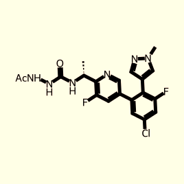 CC(=O)NNC(=O)N[C@H](C)c1ncc(-c2cc(Cl)cc(F)c2-c2cnn(C)c2)cc1F